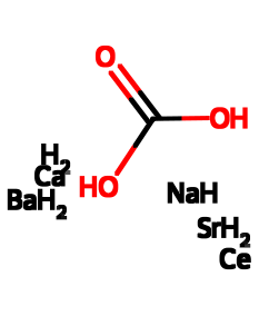 O=C(O)O.[BaH2].[CaH2].[Ce].[NaH].[SrH2]